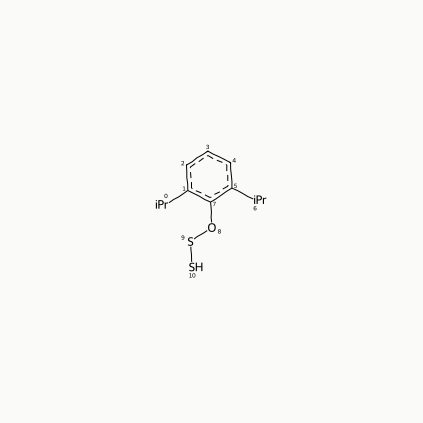 CC(C)c1cccc(C(C)C)c1OSS